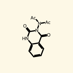 CC(=O)N(C(C)=O)n1c(=O)[nH]c2ccccc2c1=O